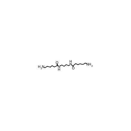 NCCCCCC(=O)NCCCCNC(=O)CCCCCN